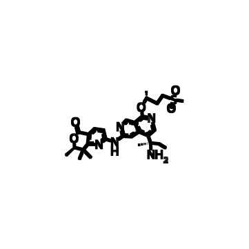 CC[C@@](C)(N)c1cnc(O[C@H](C)CCS(C)(=O)=O)c2cnc(Nc3ccc4c(n3)C(C)(C)[C@@H](C)OC4=O)cc12